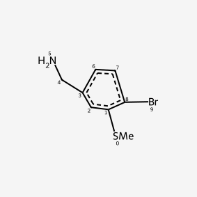 CSc1cc(CN)ccc1Br